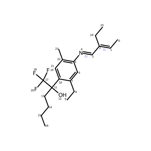 C/C=C(/C=N/c1cc(CC)c(C(O)(CCCC)C(F)(F)F)cc1C)CC